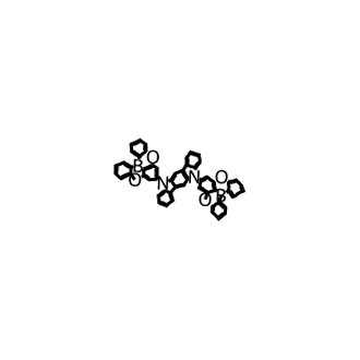 c1ccc2c(c1)Oc1cc(-n3c4ccccc4c4cc5c(cc43)c3ccccc3n5-c3cc4c5c(c3)Oc3ccccc3B5c3ccccc3O4)cc3c1B2c1ccccc1O3